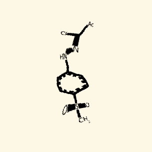 CC(=O)C(Cl)=NNc1ccc(S(C)(=O)=O)cc1